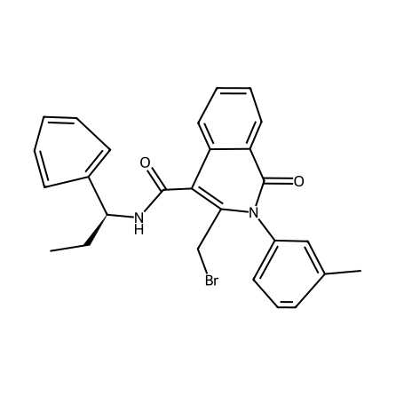 CC[C@H](NC(=O)c1c(CBr)n(-c2cccc(C)c2)c(=O)c2ccccc12)c1ccccc1